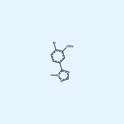 COc1cc(-c2ncnn2C)ccc1Br